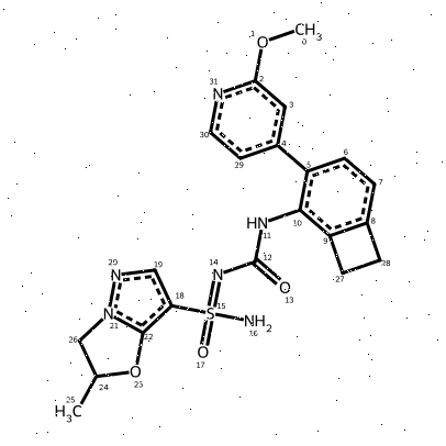 COc1cc(-c2ccc3c(c2NC(=O)N=S(N)(=O)c2cnn4c2OC(C)C4)CC3)ccn1